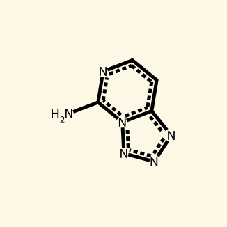 Nc1nccc2nnnn12